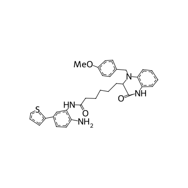 COc1ccc(CN2c3ccccc3NC(=O)C2CCCCCC(=O)Nc2cc(-c3cccs3)ccc2N)cc1